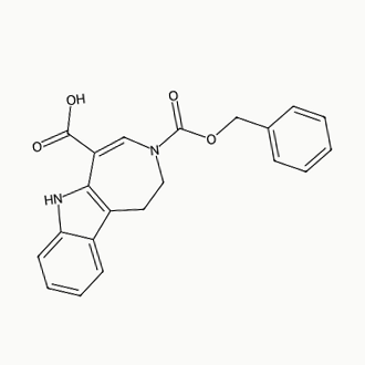 O=C(O)C1=CN(C(=O)OCc2ccccc2)CCc2c1[nH]c1ccccc21